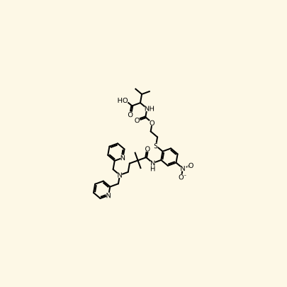 CC(C)C(NC(=O)OCCSc1ccc([N+](=O)[O-])cc1NC(=O)C(C)(C)CCN(Cc1ccccn1)Cc1ccccn1)C(=O)O